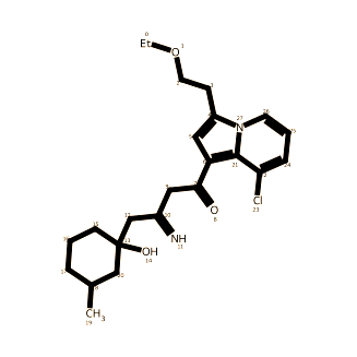 CCOCCc1cc(C(=O)CC(=N)CC2(O)CCCC(C)C2)c2c(Cl)cccn12